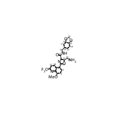 COc1ccc(-c2nc(C(=O)NCc3ccc4c(c3)OCO4)c(CN)o2)c2ccc(C(F)(F)F)nc12